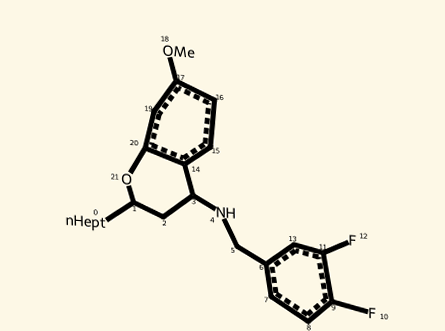 CCCCCCCC1CC(NCc2ccc(F)c(F)c2)c2ccc(OC)cc2O1